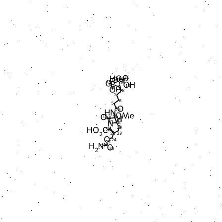 CO[C@@]1(NC(=O)CCCCC(P(=O)(O)O)P(=O)(O)O)C(=O)N2C(C(=O)O)=C(COC(N)=O)CS[C@@H]21